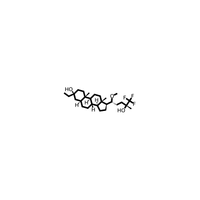 CC[C@]1(O)CC[C@@]2(C)[C@@H](CC[C@@H]3[C@@H]2CC[C@]2(C)[C@@H]([C@@H](CC[C@@](C)(O)C(F)(F)F)OC)CC[C@@H]32)C1